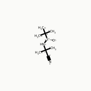 CC(C)(C#N)N[S@@+]([O-])C(C)(C)C